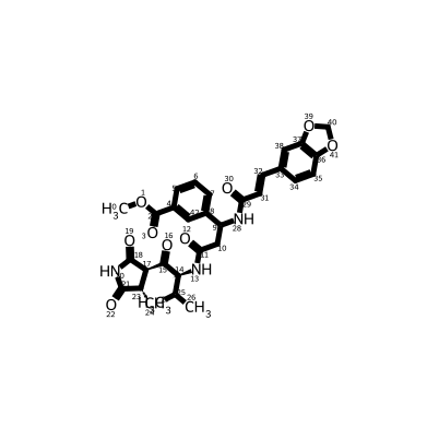 COC(=O)c1cccc(C(CC(=O)N[C@H](C(=O)[C@@H]2C(=O)NC(=O)[C@H]2C)C(C)C)NC(=O)/C=C/c2ccc3c(c2)OCO3)c1